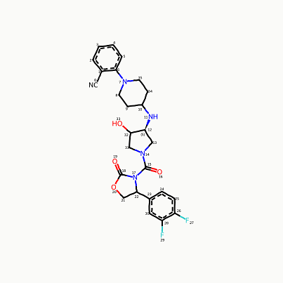 N#Cc1ccccc1N1CCC(N[C@H]2CN(C(=O)N3C(=O)OCC3c3ccc(F)c(F)c3)CC2O)CC1